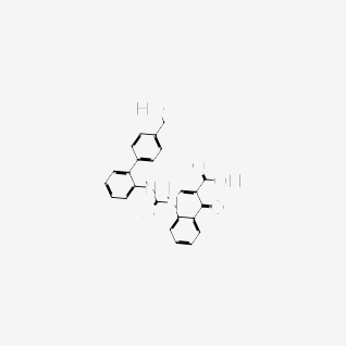 O=C(O)c1cn(C(=O)Nc2ccccc2-c2ccc(CO)cc2)c2ccccc2c1=O